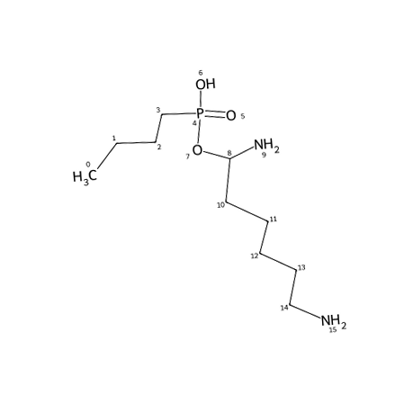 CCCCP(=O)(O)OC(N)CCCCCN